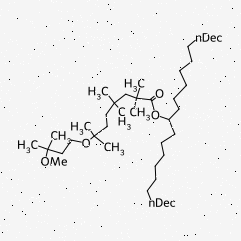 CCCCCCCCCCCCCCCCC(CCCCCCCCCCCCCCCC)OC(=O)C(C)(C)CC(C)(C)CCC(C)(C)OCCC(C)(C)OC